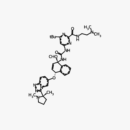 CN(C)CCNC(=O)c1nc(NC(=O)N[C@@]2(C=O)C=C[C@@H](Oc3ccc4nnc([C@]5(C)CCCN5C)n4c3)c3ccccc32)cc(C(C)(C)C)n1